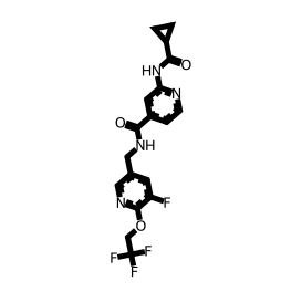 O=C(NCc1cnc(OCC(F)(F)F)c(F)c1)c1ccnc(NC(=O)C2CC2)c1